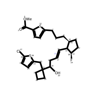 COC(=O)c1ccc(CCC[C@H]2CC[C@@H](F)C2/C=C/CC(O)C2(Cc3ccc(Cl)s3)CCC2)s1